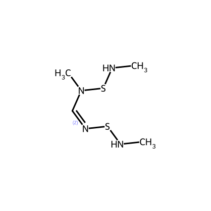 CNS/N=C\N(C)SNC